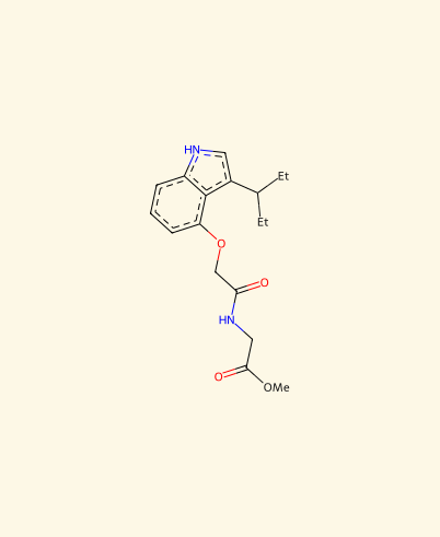 CCC(CC)c1c[nH]c2cccc(OCC(=O)NCC(=O)OC)c12